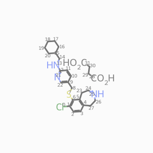 Clc1ccc2c(c1SCc1ccc(NCC3CCCCC3)nc1)CCNCC2.O=C(O)CCC(=O)O